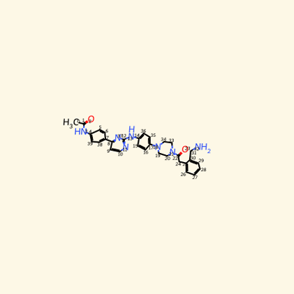 CC(=O)Nc1ccc(-c2ccnc(Nc3ccc(N4CCN(C(=O)Cc5ccccc5CN)CC4)cc3)n2)cc1